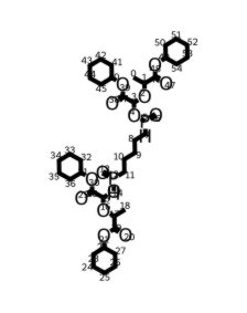 CC(OC(O[PH](=O)CCCCC[PH](=O)OC(OC(C)C(=O)OC1CCCCC1)C(=O)OC1CCCCC1)C(=O)OC1CCCCC1)C(=O)OC1CCCCC1